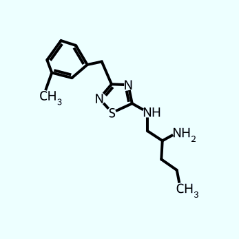 CCCC(N)CNc1nc(Cc2cccc(C)c2)ns1